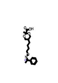 C/C(=N/OCCCCC1COC(C)(C(=O)O)OC1)c1ccccc1